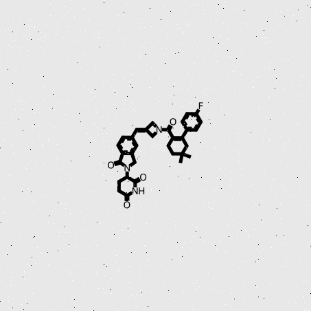 CC1(C)CCC(C(=O)N2CC(=Cc3ccc4c(c3)CN(C3CCC(=O)NC3=O)C4=O)C2)=C(c2ccc(F)cc2)C1